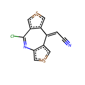 N#C/C=C1\c2cscc2N=C(Cl)c2cscc21